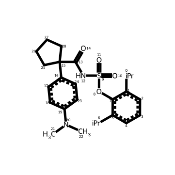 CC(C)c1cccc(C(C)C)c1OS(=O)(=O)NC(=O)C1(c2ccc(N(C)C)cc2)CCCC1